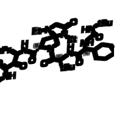 CCCC(NC(=O)[C@@H]1CC2(CN1C(=O)[C@@H](NC(=O)[C@@H](NC(=O)NC(C)(C)C)C1CCCCC1)C(C)(C)C)N(CC)CC(=O)N2CC)C(=O)C(=O)NC1CC1